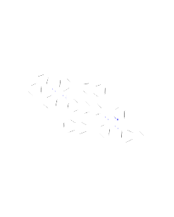 C/C=C\c1cccc(Nc2ccccc2N(c2ccccc2)c2ccc3c(-c4cccc5ccccc45)c4cc(N5c6ccccc6N(c6cccc7ccccc67)c6ccccc65)ccc4c(-c4cccc5ccccc45)c3c2)c1C